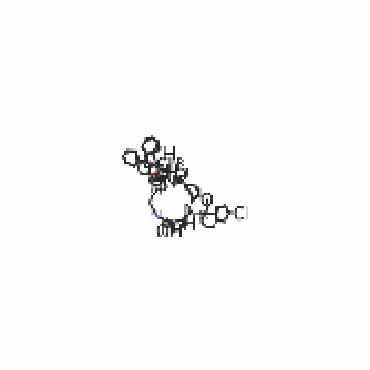 C[C@@H](C[C@H]1CC/C=C\[C@H](O)[C@@H]2CC[C@H]2CN2C[C@@]3(CCCc4cc(Cl)ccc43)COc3ccc(cc32)C(=O)NS1(=O)=O)O[Si](c1ccccc1)(c1ccccc1)C(C)(C)C